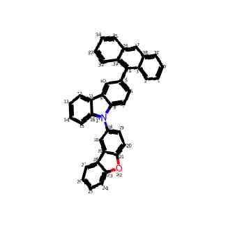 c1ccc2c(-c3ccc4c(c3)c3ccccc3n4-c3ccc4oc5ccccc5c4c3)c3ccccc3cc2c1